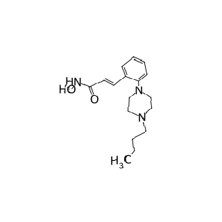 CCCCN1CCN(c2ccccc2C=CC(=O)NO)CC1